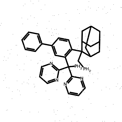 PCC1(c2ccc(-c3ccccc3)cc2C(P)(c2ncccn2)c2ncccn2)C2CC3CC(C2)CC1C3